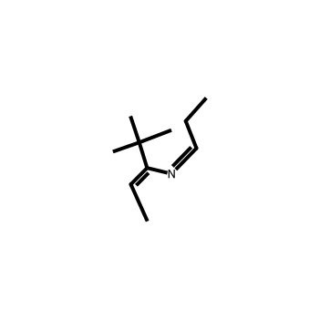 C/C=C(\N=C/CC)C(C)(C)C